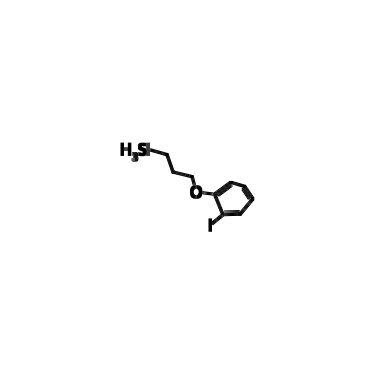 [SiH3]CCCOc1ccccc1I